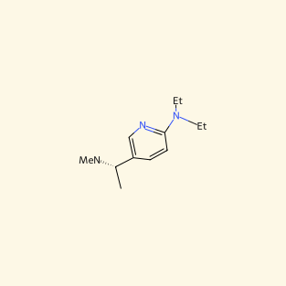 CCN(CC)c1ccc([C@H](C)NC)cn1